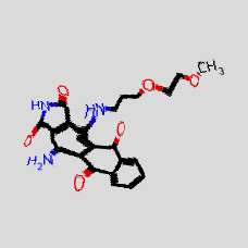 COCCOCCCNc1c2c(=O)[nH]c(=O)c2c(N)c2c(=O)c3ccccc3c(=O)c12